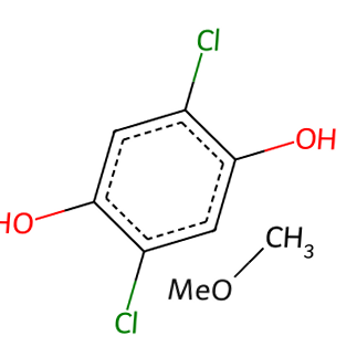 COC.Oc1cc(Cl)c(O)cc1Cl